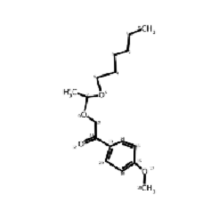 CCCCCCOC(C)OCC(=O)c1ccc(OC)cc1